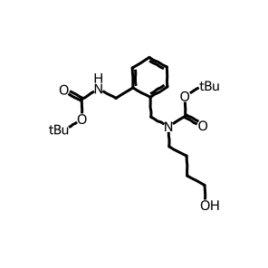 CC(C)(C)OC(=O)NCc1ccccc1CN(CCCCO)C(=O)OC(C)(C)C